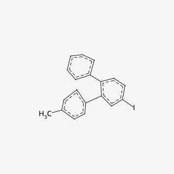 Cc1ccc(-c2cc(I)ccc2-c2ccccc2)cc1